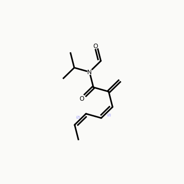 C=C(/C=C\C=C/C)C(=O)N(C=O)C(C)C